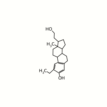 CCc1cc2c(cc1O)CCC1C2CCC2(C)C(CCO)CCC12